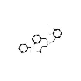 Cc1cccc(CN(CCC(=O)O)Cc2cccc(Sc3ccccc3)c2)c1O